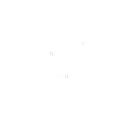 O=C(O)C1CCN1CCF